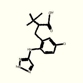 CC(C)(C)C(Cc1cc(Cl)ccc1Nc1cn[nH]n1)C(=O)O